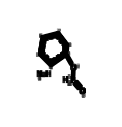 O=[PH2]Oc1ccccc1.[NaH]